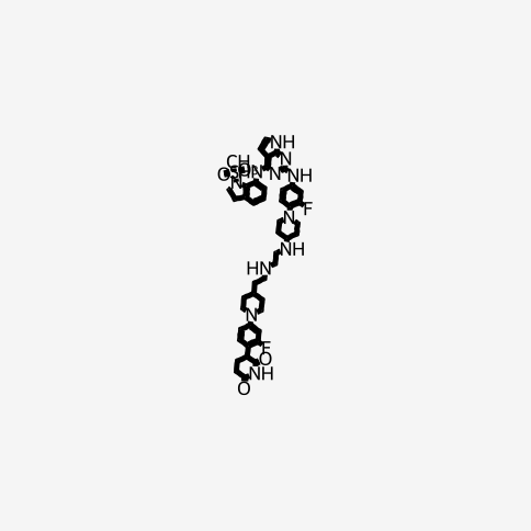 CS(=O)(=O)N1CCc2cccc(Nc3nc(Nc4ccc(N5CCC(NCCNCCC6CCN(c7ccc(C8CCC(=O)NC8=O)c(F)c7)CC6)CC5)c(F)c4)nc4[nH]ccc34)c21